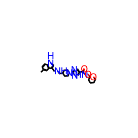 Cc1ccc2[nH]cc(CNCC3CCN(c4ncc(C(=O)NOC5CCCCO5)cn4)CC3)c2c1